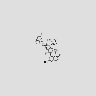 C#Cc1c(F)ccc2cc(O)cc(-c3ccc4c(N5CCOC[C@@H]5CC)nc(OC[C@@]56CCCN5C[C@H](F)C6)nc4c3F)c12